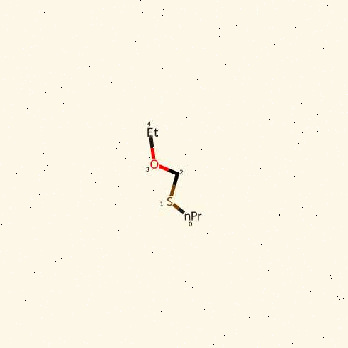 CCCSCOCC